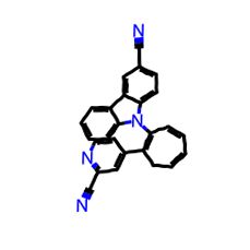 N#Cc1ccc2c(c1)c1ccccc1n2C1=C(c2ccnc(C#N)c2)CC=CC=C1